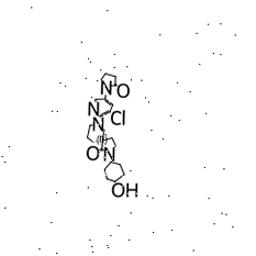 O=C1CCCN1c1cnc(N2CCC[C@@]3(CCN([C@H]4CC[C@H](O)CC4)C3=O)C2)c(Cl)c1